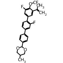 C=C(C)c1cc(-c2ccc(-c3ccc(C4OCC(C)CO4)cc3)cc2F)cc(F)c1OC(F)(F)F